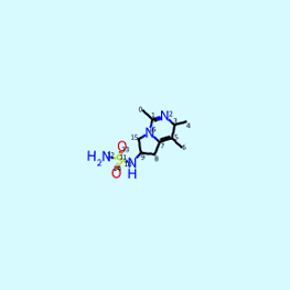 CC1=NC(C)C(C)=C2CC(NS(N)(=O)=O)CN12